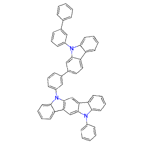 c1ccc(-c2cccc(-n3c4ccccc4c4ccc(-c5cccc(-n6c7ccccc7c7cc8c(cc76)c6ccccc6n8-c6ccccc6)c5)cc43)c2)cc1